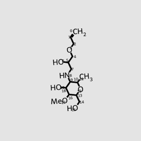 C=CCOCC(O)CNC1C(C)OC(CO)C(OC)C1O